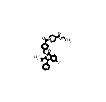 CCOC(=O)C1CCN(C(=O)c2ccc(Cn3c(C(C)=O)c(-c4ccccc4)c4cc(Br)ccc4c3=O)cc2)CC1